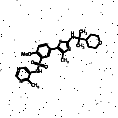 COc1ccc(-c2sc(NC(C)(C)C3CCOCC3)nc2C)cc1S(=O)(=O)Nc1cncnc1C